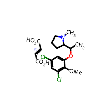 COc1c(Cl)cc(Cl)cc1OC(C)C1CCCN1C.O=C(O)/C=C/C(=O)O